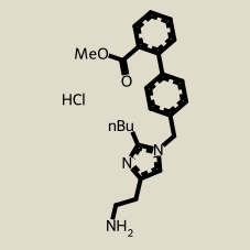 CCCCc1nc(CCN)cn1Cc1ccc(-c2ccccc2C(=O)OC)cc1.Cl